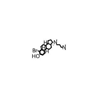 CN(C)CCCN(C)[C@H]1CC[C@H]2[C@@H]3CCc4c(ccc(O)c4Br)[C@H]3CC[C@]12C